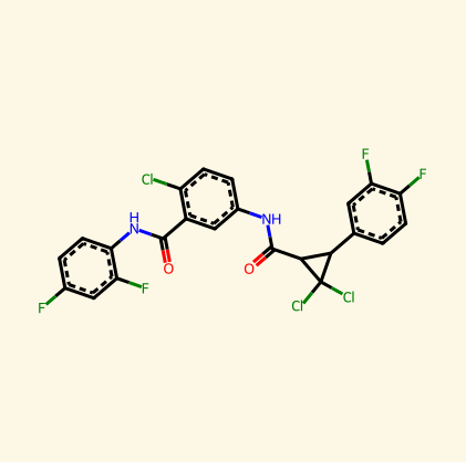 O=C(Nc1ccc(F)cc1F)c1cc(NC(=O)C2C(c3ccc(F)c(F)c3)C2(Cl)Cl)ccc1Cl